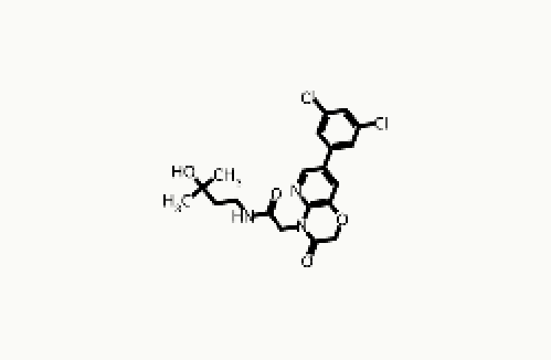 CC(C)(O)CCNC(=O)CN1C(=O)COc2cc(-c3cc(Cl)cc(Cl)c3)cnc21